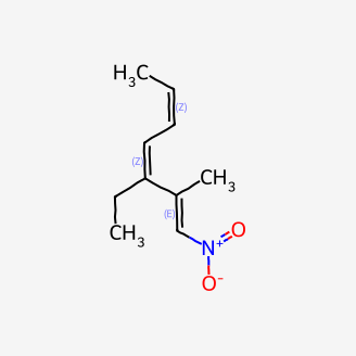 C\C=C/C=C(CC)\C(C)=C\[N+](=O)[O-]